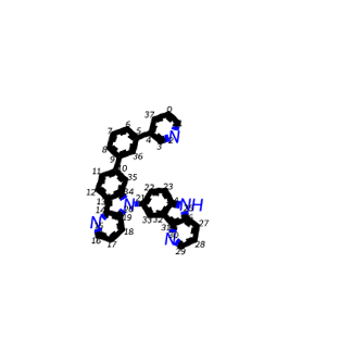 c1cncc(-c2cccc(-c3ccc4c5ncccc5n(-c5ccc6[nH]c7cccnc7c6c5)c4c3)c2)c1